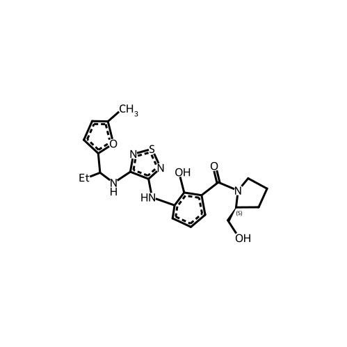 CCC(Nc1nsnc1Nc1cccc(C(=O)N2CCC[C@H]2CO)c1O)c1ccc(C)o1